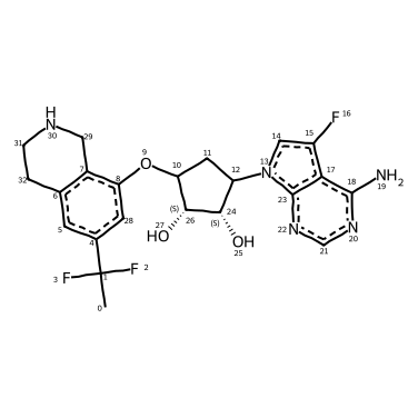 CC(F)(F)c1cc2c(c(OC3CC(n4cc(F)c5c(N)ncnc54)[C@H](O)[C@@H]3O)c1)CNCC2